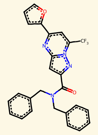 O=C(c1cc2nc(-c3ccco3)cc(C(F)(F)F)n2n1)N(Cc1ccccc1)Cc1ccccc1